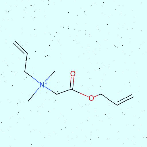 C=CCOC(=O)C[N+](C)(C)CC=C